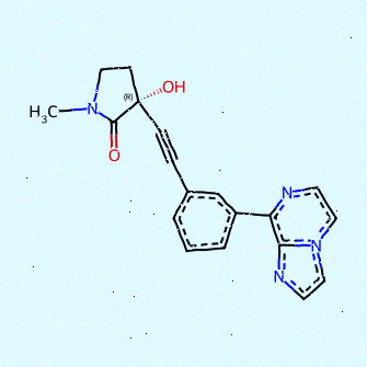 CN1CC[C@@](O)(C#Cc2cccc(-c3nccn4ccnc34)c2)C1=O